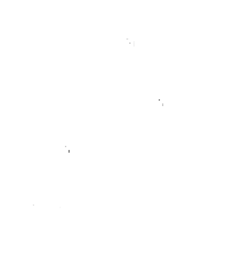 CC(C)(C)c1ccc(-n2c3ccccc3c3ccc(-c4ccc(-n5c6ccccc6c6cc7c(cc65)-c5ccccc5C7(C)C)cc4)cc32)cc1